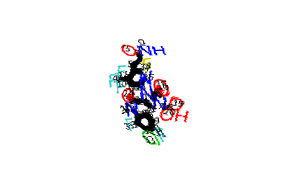 CNC(=O)c1cc2c(C(F)(F)F)cc(N3C(=O)N(C(=O)O)CC3C(=O)N(C)c3ccc(F)c(Cl)c3F)nc2s1